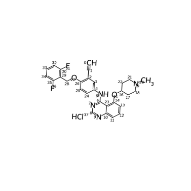 C#Cc1cc(Nc2ncnc3cccc(OC4CCN(C)CC4)c23)ccc1OCc1c(F)cccc1F.Cl